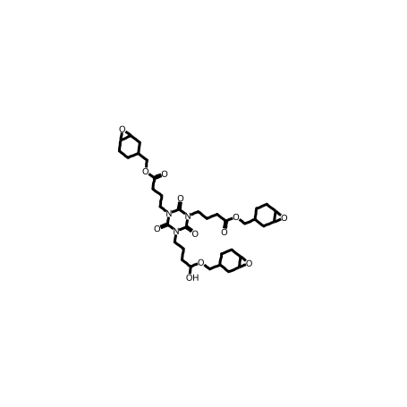 O=C(CCCn1c(=O)n(CCCC(=O)OCC2CCC3OC3C2)c(=O)n(CCCC(O)OCC2CCC3OC3C2)c1=O)OCC1CCC2OC2C1